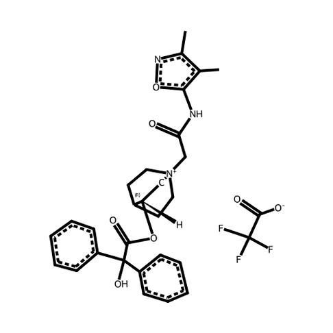 Cc1noc(NC(=O)C[N+]23CCC(CC2)[C@@H](OC(=O)C(O)(c2ccccc2)c2ccccc2)C3)c1C.O=C([O-])C(F)(F)F